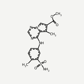 COC(=O)c1cn2ncnc(Nc3ccc(C)c(S(N)(=O)=O)c3)c2c1C